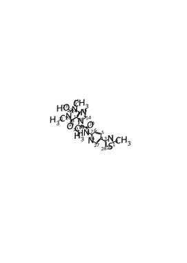 Cc1nc(-c2ccc(NC(=O)[C@@H](C)n3cnc4c3C(=O)N(C)C(O)N4C)nc2)cs1